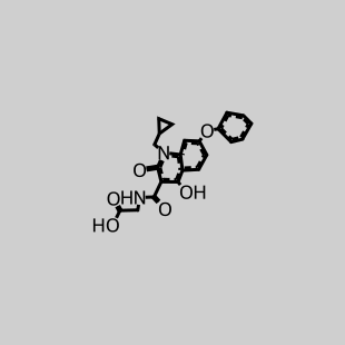 O=C(O)CNC(=O)c1c(O)c2ccc(Oc3ccccc3)cc2n(CC2CC2)c1=O